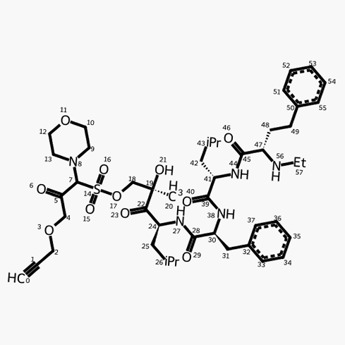 C#CCOCC(=O)C(N1CCOCC1)S(=O)(=O)OC[C@@](C)(O)C(=O)[C@H](CC(C)C)NC(=O)[C@H](Cc1ccccc1)NC(=O)[C@H](CC(C)C)NC(=O)[C@H](CCc1ccccc1)NCC